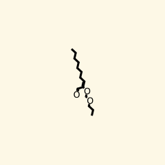 CCCCCCC/C=C(\C=O)OCOCCC